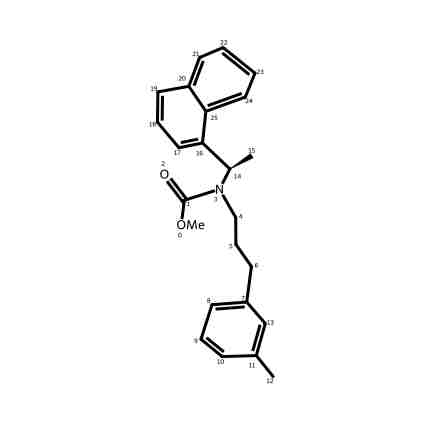 COC(=O)N(CCCc1cccc(C)c1)[C@H](C)c1cccc2ccccc12